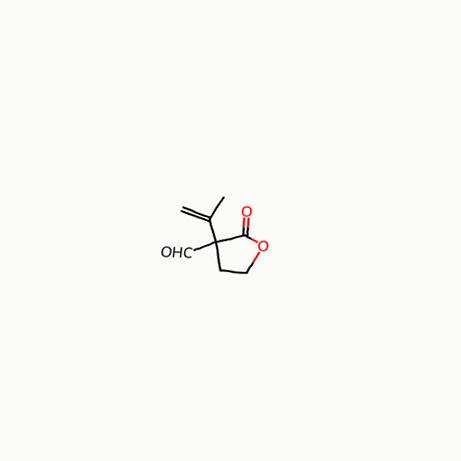 C=C(C)C1(C=O)CCOC1=O